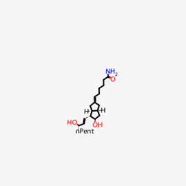 CCCCC[C@H](O)/C=C/[C@@H]1[C@H]2C/C(=C/CCCCC(N)=O)C[C@H]2C[C@H]1O